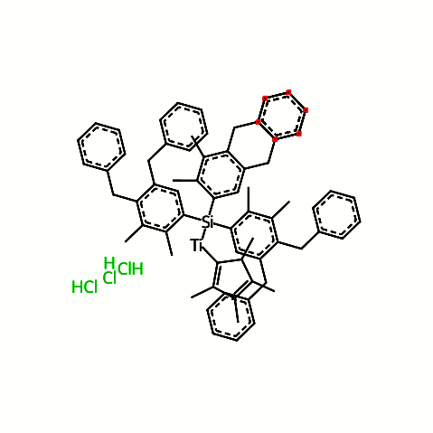 CC1=C(C)C(C)[C]([Ti][Si](c2cc(Cc3ccccc3)c(Cc3ccccc3)c(C)c2C)(c2cc(Cc3ccccc3)c(Cc3ccccc3)c(C)c2C)c2cc(Cc3ccccc3)c(Cc3ccccc3)c(C)c2C)=C1C.Cl.Cl.Cl